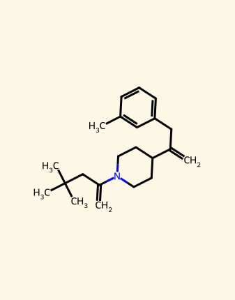 C=C(Cc1cccc(C)c1)C1CCN(C(=C)CC(C)(C)C)CC1